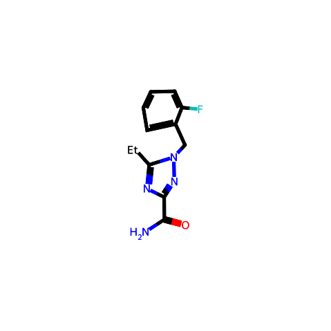 CCc1nc(C(N)=O)nn1Cc1ccccc1F